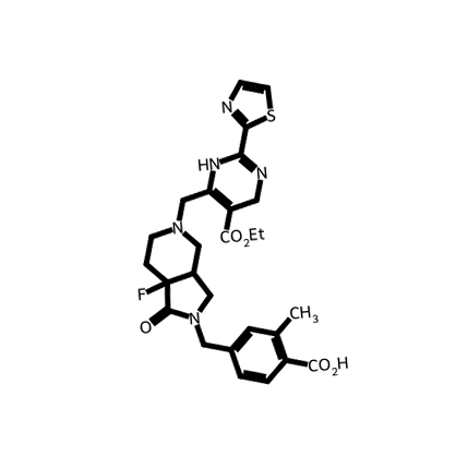 CCOC(=O)C1=C(CN2CCC3(F)C(=O)N(Cc4ccc(C(=O)O)c(C)c4)CC3C2)NC(c2nccs2)=NC1